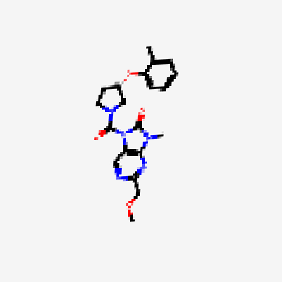 COCc1ncc2c(n1)n(C)c(=O)n2C(=O)N1CC[C@H](Oc2ccccc2C)C1